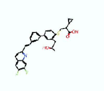 CC(O)Cc1cc(-c2cccc(C=Cc3ccc4cc(F)c(F)cc4n3)c2)ccc1SCC(C(=O)O)C1CC1